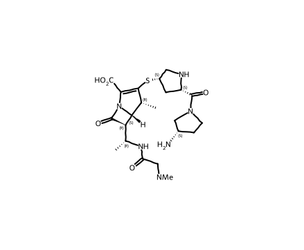 CNCC(=O)N[C@H](C)[C@H]1C(=O)N2C(C(=O)O)=C(S[C@@H]3CN[C@H](C(=O)N4CC[C@H](N)C4)C3)[C@H](C)[C@H]12